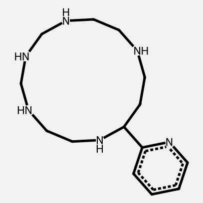 c1ccc(C2CCNCCNCNCNCCN2)nc1